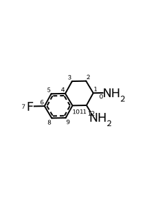 NC1CCc2cc(F)ccc2C1N